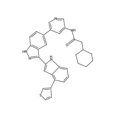 O=C(CC1CCCCC1)Nc1cncc(-c2ccc3[nH]nc(-c4cc5c(-c6ccsc6)cccc5[nH]4)c3c2)c1